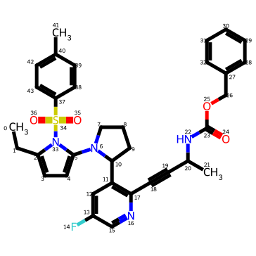 CCc1ccc(N2CCCC2c2cc(F)cnc2C#CC(C)NC(=O)OCc2ccccc2)n1S(=O)(=O)c1ccc(C)cc1